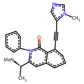 CN[C@H](C)c1cc2cccc(C#Cc3cncn3C)c2c(=O)n1-c1ccccc1